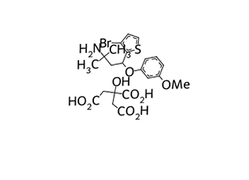 COc1cccc(OC(CC(C)(C)N)c2sccc2Br)c1.O=C(O)CC(O)(CC(=O)O)C(=O)O